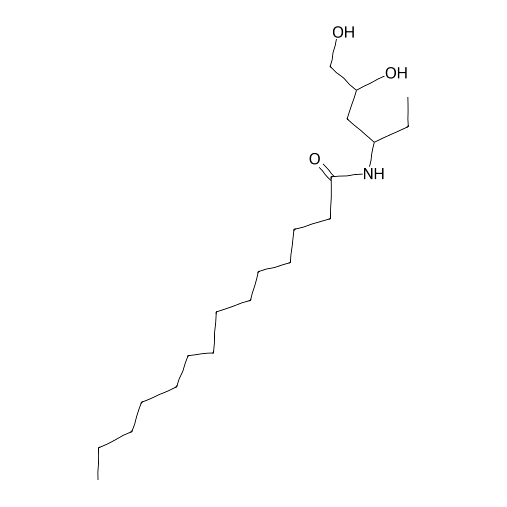 CCCCCCCCCCCCCC(=O)NC(CC)CC(O)CO